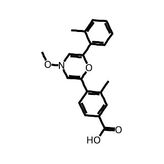 CON1C=C(c2ccccc2C)OC(c2ccc(C(=O)O)cc2C)=C1